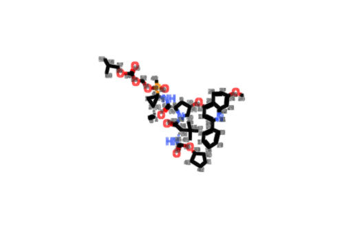 C=C[C@@H]1C[C@]1(NC(=O)[C@@H]1C[C@@H](Oc2cc(-c3ccccc3)nc3cc(OC)ccc23)CN1C(=O)[C@@H](NC(=O)OC1CCCC1)C(C)(C)C)P(C)(=O)OCOC(=O)OCC(C)C